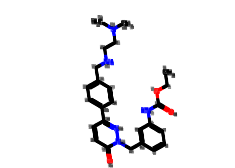 CCOC(=O)Nc1cccc(Cn2nc(-c3ccc(CNCCN(C)C)cc3)ccc2=O)c1